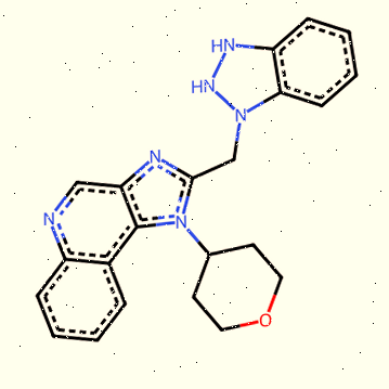 c1ccc2c(c1)NNN2Cc1nc2cnc3ccccc3c2n1C1CCOCC1